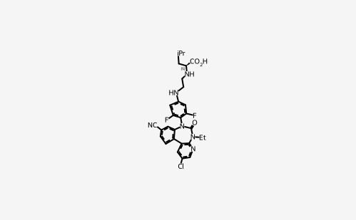 CCN1C(=O)N(c2c(F)cc(NCCN[C@@H](CC(C)C)C(=O)O)cc2F)c2cc(C#N)ccc2-c2cc(Cl)cnc21